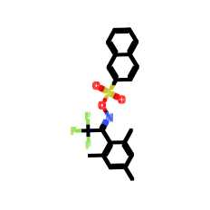 Cc1cc(C)c(/C(=N/OS(=O)(=O)c2ccc3ccccc3c2)C(F)(F)F)c(C)c1